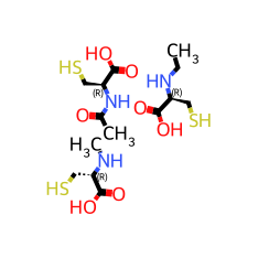 CC(=O)N[C@@H](CS)C(=O)O.CCN[C@@H](CS)C(=O)O.CN[C@@H](CS)C(=O)O